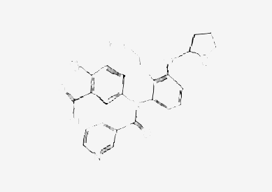 CCOc1c(OC2CCCO2)cccc1N(C(=O)c1cccnc1)c1ccc(Cl)c(C(=O)O)c1